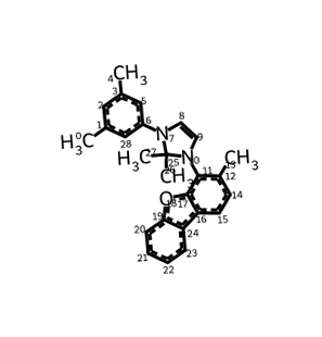 Cc1cc(C)cc(N2C=CN(c3c(C)ccc4c3oc3ccccc34)C2(C)C)c1